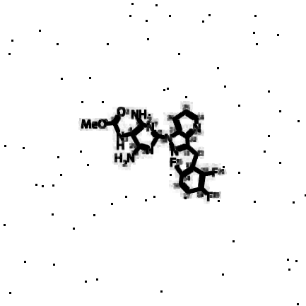 COC(=O)Nc1c(N)nc(-n2nc(Cc3c(F)ccc(F)c3F)c3ncccc32)nc1N